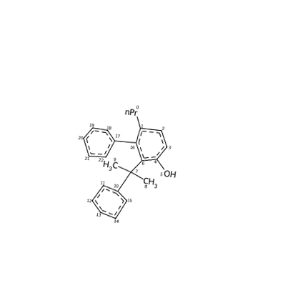 CCCc1ccc(O)c(C(C)(C)c2ccccc2)c1-c1ccccc1